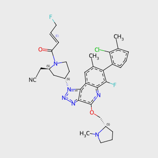 Cc1cccc(-c2c(C)cc3c(nc(OC[C@@H]4CCCN4C)c4nnn([C@H]5CCN(C(=O)/C=C/CF)[C@H](CC#N)C5)c43)c2F)c1Cl